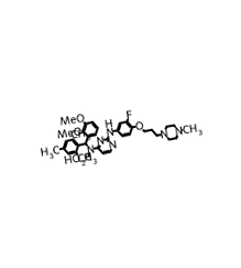 COc1cccc(C(c2c(C)cc(C)cc2C)N(C(=O)O)c2ccnc(Nc3ccc(OCCCN4CCN(C)CC4)c(F)c3)n2)c1OC